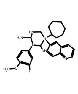 COc1ccc(N2C(N)NC[N+](c3ccc4ncccc4c3)(C3CCCCCC3)C2N)cc1F